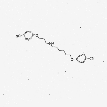 N#Cc1ccc(OCCCCCCNCCCOc2ccc(C#N)cc2)cc1